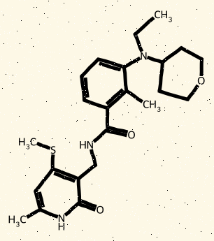 CCN(c1cccc(C(=O)NCc2c(SC)cc(C)[nH]c2=O)c1C)C1CCOCC1